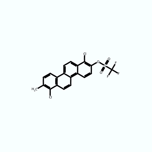 Cc1ccc2c(ccc3c4ccc(OS(=O)(=O)C(F)(F)F)c(Cl)c4ccc23)c1Cl